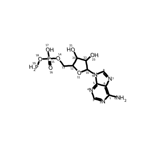 Nc1ncnc2c1ncn2C1OC(COP(=O)(O)OP)C(O)C1O